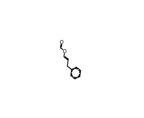 O=COC=CCc1ccccc1